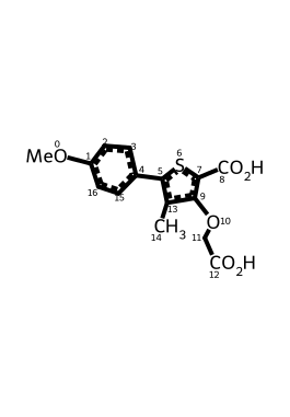 COc1ccc(-c2sc(C(=O)O)c(OCC(=O)O)c2C)cc1